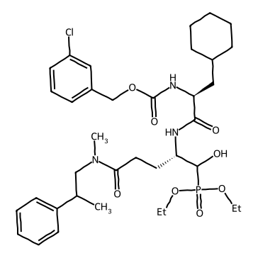 CCOP(=O)(OCC)C(O)[C@H](CCC(=O)N(C)CC(C)c1ccccc1)NC(=O)[C@H](CC1CCCCC1)NC(=O)OCc1cccc(Cl)c1